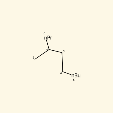 [CH2]CCC(C)CCCCCC